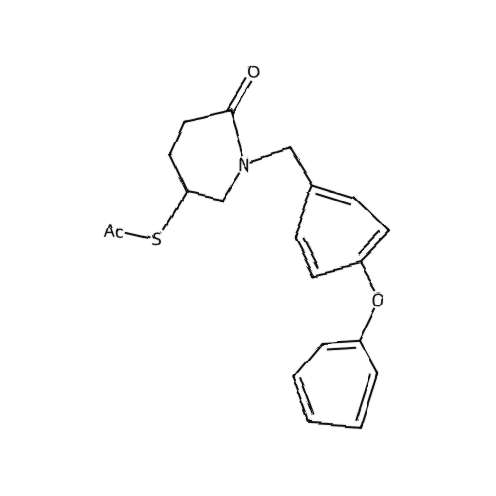 CC(=O)SC1CCC(=O)N(Cc2ccc(Oc3ccccc3)cc2)C1